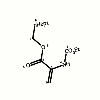 C=C(NC(=O)OCC)C(=O)OCCCCCCCC